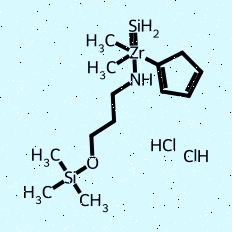 C[Si](C)(C)OCCC[NH][Zr]([CH3])([CH3])(=[SiH2])[C]1=CC=CC1.Cl.Cl